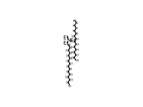 CCN(CC)CC.[CH2]CCCCCCCCCCCCCCC.[CH2]CCCCCCCCCCCCCCC